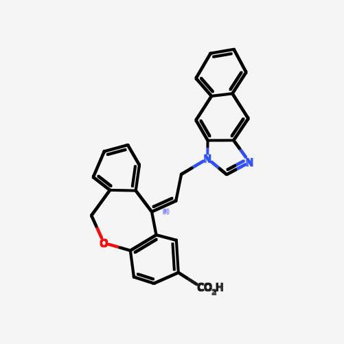 O=C(O)c1ccc2c(c1)/C(=C/Cn1cnc3cc4ccccc4cc31)c1ccccc1CO2